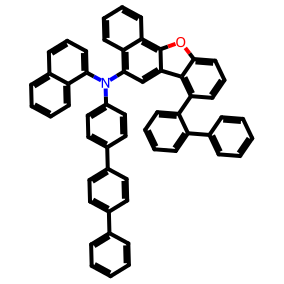 c1ccc(-c2ccc(-c3ccc(N(c4cccc5ccccc45)c4cc5c(oc6cccc(-c7ccccc7-c7ccccc7)c65)c5ccccc45)cc3)cc2)cc1